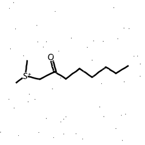 CCCCCCC(=O)C[S+](C)C